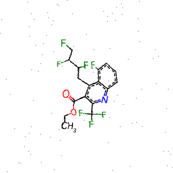 CCOC(=O)c1c(C(F)(F)F)nc2cccc(F)c2c1CC(F)C(F)CF